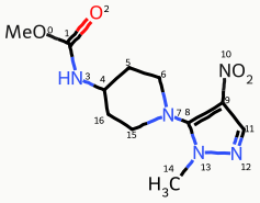 COC(=O)NC1CCN(c2c([N+](=O)[O-])cnn2C)CC1